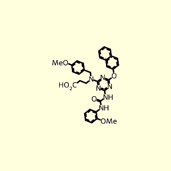 COc1ccc(CN(CCC(=O)O)c2nc(NC(=O)Nc3ccccc3OC)nc(Oc3ccc4ccccc4c3)n2)cc1